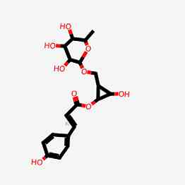 CC1OC(OCC2C(O)C2OC(=O)/C=C/c2ccc(O)cc2)C(O)C(O)C1O